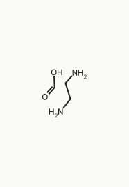 NCCN.O=CO